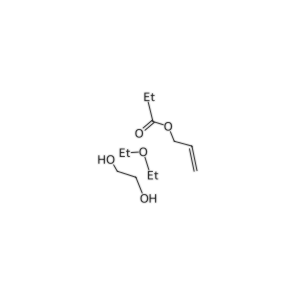 C=CCOC(=O)CC.CCOCC.OCCO